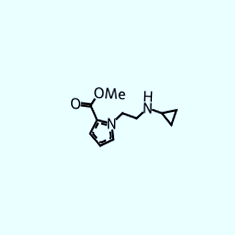 COC(=O)c1cccn1CCNC1CC1